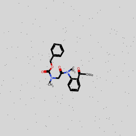 COC(=O)c1ccccc1N(C)C(=O)CN(C)C(=O)OCc1ccccc1